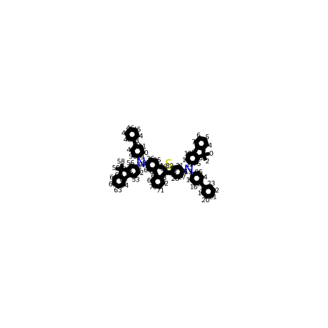 CC1(C)c2ccccc2-c2ccc(N(c3ccc(-c4ccccc4)cc3)c3ccc4c(c3)sc3c5ccc(N(c6ccc(-c7ccccc7)cc6)c6ccc7c(c6)C(C)(C)c6ccccc6-7)cc5c5ccccc5c43)cc21